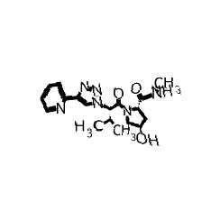 CNC(=O)[C@@H]1C[C@@H](O)CN1C(=O)[C@H](C(C)C)n1cc(-c2ccccn2)nn1